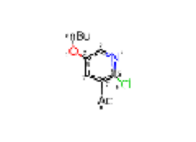 CCCCOc1cnc(Cl)c(C(C)=O)c1